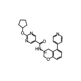 O=C(N[C@@H]1COc2cccc(-c3ccncc3)c2C1)c1cnc(OC2CCCC2)nc1